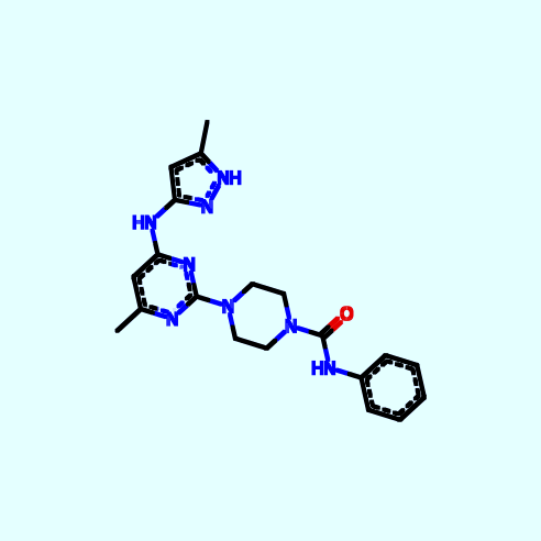 Cc1cc(Nc2cc(C)[nH]n2)nc(N2CCN(C(=O)Nc3ccccc3)CC2)n1